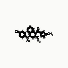 CC(=O)N(c1ccc(Cl)cc1)[C@@H]1C[C@H](C)N(C(=O)c2cn(C)cn2)c2ccccc21